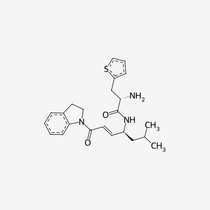 CC(C)C[C@@H](C=CC(=O)N1CCc2ccccc21)NC(=O)[C@@H](N)Cc1cccs1